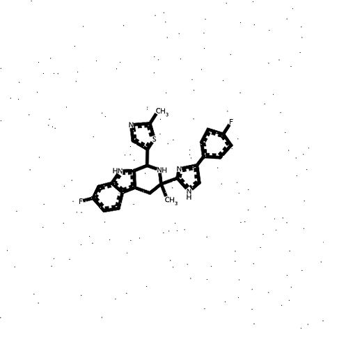 Cc1ncc(C2NC(C)(c3nc(-c4ccc(F)cc4)c[nH]3)Cc3c2[nH]c2cc(F)ccc32)s1